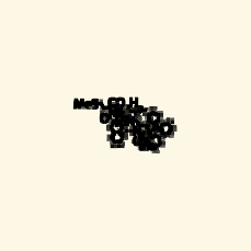 CSCC[C@H](NC(=O)[C@H]1Cc2ccccc2CN1C(=O)[C@H](CC(C)C)NCC(CSC(c1ccccc1)(c1ccccc1)c1ccccc1)NC(=O)OC(C)(C)C)C(=O)O